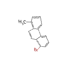 Cc1cccc2c1ccc1c(Br)cccc12